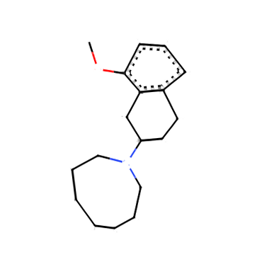 COc1cccc2c1CC(N1CCCCCCC1)CC2